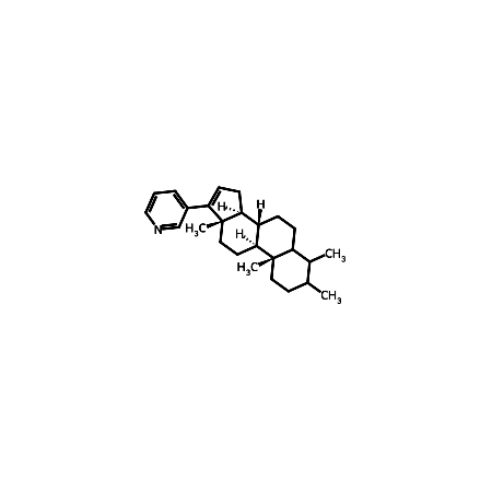 CC1CC[C@@]2(C)C(CC[C@@H]3[C@@H]2CC[C@]2(C)C(c4cccnc4)=CC[C@@H]32)C1C